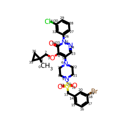 CC1(COc2c(N3CCN(S(=O)(=O)Cc4cccc(Br)c4)CC3)cnn(-c3cccc(Cl)c3)c2=O)CC1